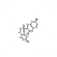 O=c1sc2ccc(Br)cc2cc1S(=O)(=O)/C=C\c1ccc(Cl)cc1